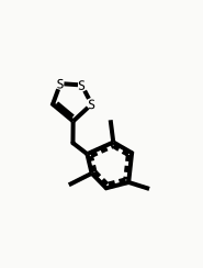 Cc1cc(C)c(CC2=CSSS2)c(C)c1